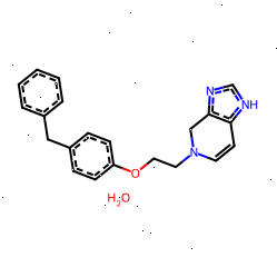 C1=CN(CCOc2ccc(Cc3ccccc3)cc2)Cc2nc[nH]c21.O